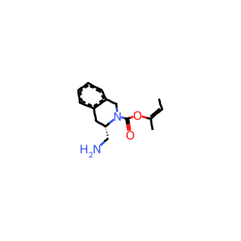 C/C=C(/C)OC(=O)N1Cc2ccccc2C[C@H]1CN